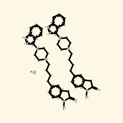 CCN1C(=O)Cc2cc(CCCCN3CCN(c4nsc5ccccc45)CC3)ccc21.CCN1C(=O)Cc2cc(CCCCN3CCN(c4nsc5ccccc45)CC3)ccc21.O